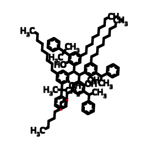 CCCCCCCCCc1cc(C(C)c2ccccc2)c(O)c(C(c2cc(CCCCCCCCC)cc(C(C)c3ccccc3)c2O)C(c2cc(CCCCCCCCC)cc(C(C)(C)c3ccccc3)c2O)c2cc(CCCCCCCCC)cc(C(C)(C)c3ccccc3)c2O)c1